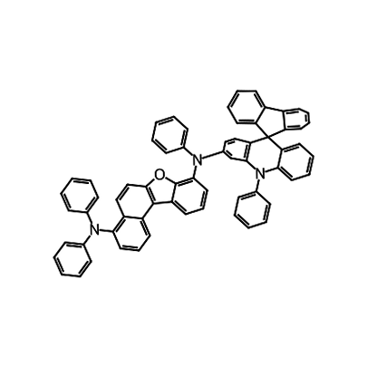 c1ccc(N2c3ccccc3C3(c4ccccc4-c4ccccc43)c3ccc(N(c4ccccc4)c4cccc5c4oc4ccc6c(N(c7ccccc7)c7ccccc7)cccc6c45)cc32)cc1